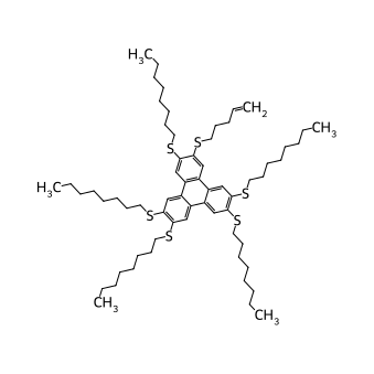 C=CCCCSc1cc2c(cc1SCCCCCCCC)c1cc(SCCCCCCCC)c(SCCCCCCCC)cc1c1cc(SCCCCCCCC)c(SCCCCCCCC)cc21